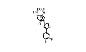 O=C(O)N[C@H]1C[C@H]2C[C@@H]1C[C@@H]2n1cnc(-c2ccc(F)c(F)c2)c1